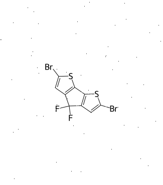 FC1(F)c2cc(Br)sc2-c2sc(Br)cc21